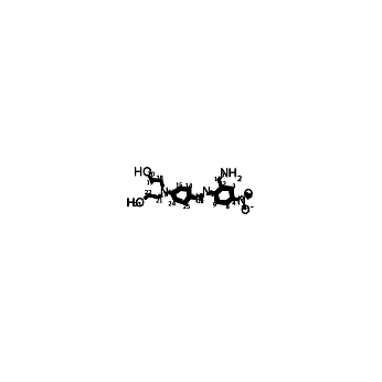 NCc1cc([N+](=O)[O-])ccc1N=Nc1ccc(N(CCO)CCO)cc1